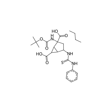 CC(C)(C)OC(=O)NC1(C(=O)O)CC(NC(=S)Nc2ccccc2)C2C(C(=O)O)C21.CCCC